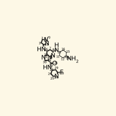 Cn1ccc(Nc2cc(N[C@H]3CC[C@H](N)CC3)nn3c(C(=O)Nc4ccnc(F)c4)cnc23)n1